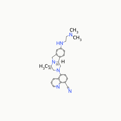 C[C@@H]1CN(c2ccc(C#N)c3ncccc23)C[C@@H]2c3ccc(NCCN(C)C)cc3CN12